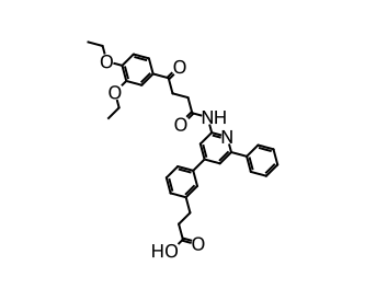 CCOc1ccc(C(=O)CCC(=O)Nc2cc(-c3cccc(CCC(=O)O)c3)cc(-c3ccccc3)n2)cc1OCC